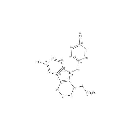 CCOC(=O)CC1CCCc2c1n(Cc1ccc(Cl)cc1)c1ccc(F)cc21